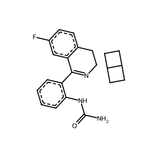 C1CC2CCC12.NC(=O)Nc1ccccc1C1=NCCc2ccc(F)cc21